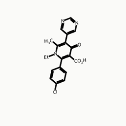 CCn1c(C)c(-c2cncnc2)c(=O)c(C(=O)O)c1-c1ccc(Cl)cc1